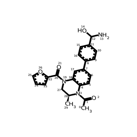 CC(=O)N1c2ccc(-c3ccc(C(N)O)cc3)cc2N(C(=O)c2ccco2)C[C@@H]1C